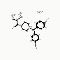 CC(C)CC(NC(C)C)C(=O)N1CCN(C(c2ccc(F)cc2)c2ccc(F)cc2)CC1.Cl